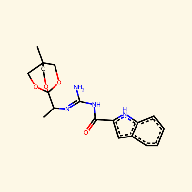 CC(N=C(N)NC(=O)c1cc2ccccc2[nH]1)C12OCC(C)(CO1)CO2